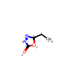 CCC1N=NC(=O)O1